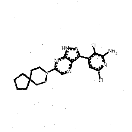 Nc1nc(Cl)cc(-c2n[nH]c3nc(N4CCC5(CCCC5)CC4)cnc23)c1Cl